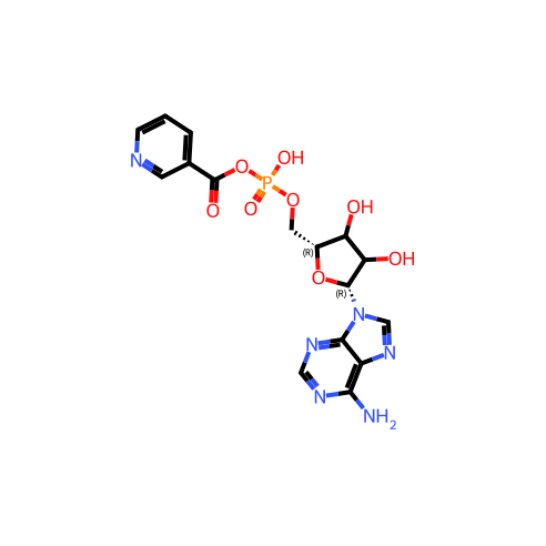 Nc1ncnc2c1ncn2[C@@H]1O[C@H](COP(=O)(O)OC(=O)c2cccnc2)C(O)C1O